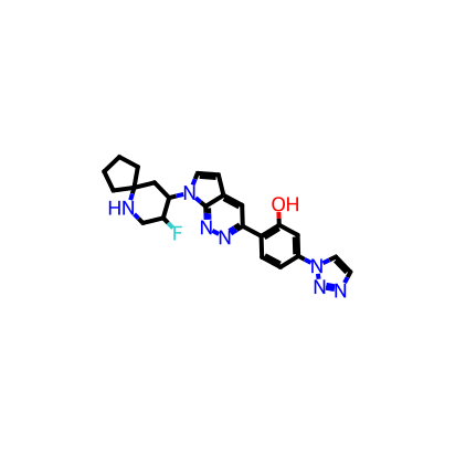 Oc1cc(-n2ccnn2)ccc1-c1cc2ccn(C3CC4(CCCC4)NCC3F)c2nn1